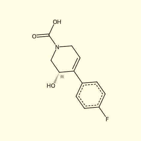 O=C(O)N1CC=C(c2ccc(F)cc2)[C@H](O)C1